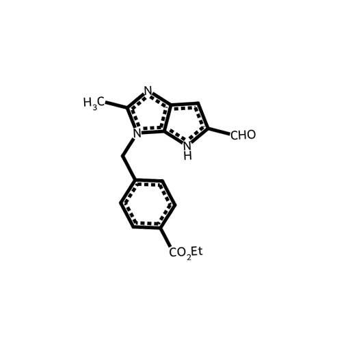 CCOC(=O)c1ccc(Cn2c(C)nc3cc(C=O)[nH]c32)cc1